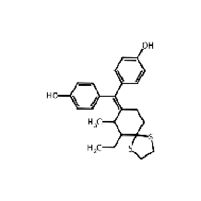 CCC1C(C)C(=C(c2ccc(O)cc2)c2ccc(O)cc2)CCC12SCCS2